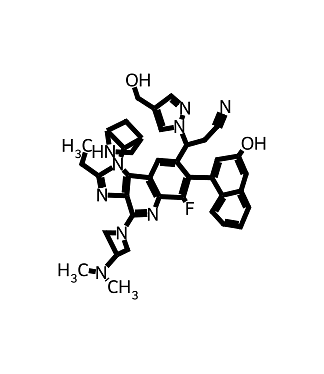 CCc1nc2c(N3CC(N(C)C)C3)nc3c(F)c(-c4cc(O)cc5ccccc45)c(C(CC#N)n4cc(CO)cn4)cc3c2n1C1C2CNC1C2